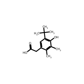 Cc1c(CC(=O)O)cc(C(C)(C)C)c(O)c1C